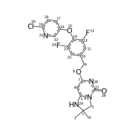 CC1(C)Cn2c(cc(OCc3cc(F)c(Oc4ccc(Cl)nc4)c(F)c3)nc2=O)N1